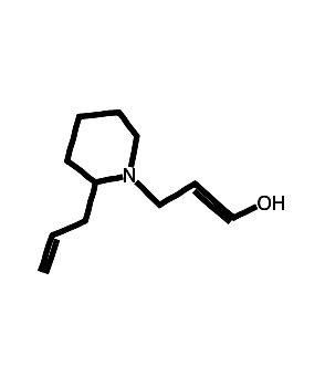 C=CCC1CCCCN1CC=CO